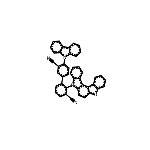 N#Cc1cc(-c2cccc(C#N)c2-n2c3ccccc3c3c4c(ccc32)oc2ccccc24)ccc1-n1c2ccccc2c2ccccc21